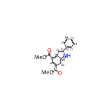 COC(=O)c1cc(C(=O)OC)c2cc(-c3ccccc3)[nH]c2c1